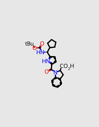 CC(C)(C)OC(=O)N[C@H](c1ccc(C(=O)N2c3ccccc3CC2C(=O)O)[nH]1)C1CCCC1